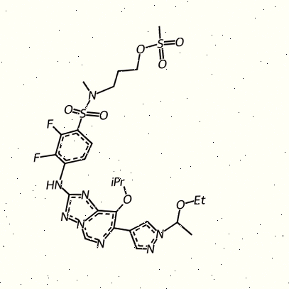 CCOC(C)n1cc(-c2ncn3nc(Nc4ccc(S(=O)(=O)N(C)CCCOS(C)(=O)=O)c(F)c4F)nc3c2OC(C)C)cn1